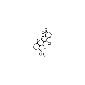 CSC1CCCC(=O)C1C(=O)c1ccc2c(c1Cl)CCCS2(=O)=O